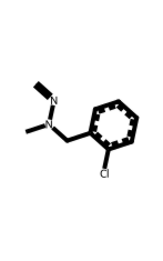 C=NN(C)Cc1ccccc1Cl